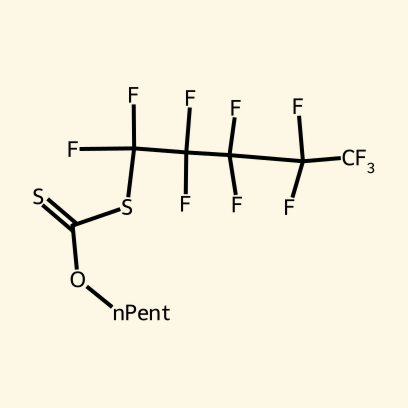 CCCCCOC(=S)SC(F)(F)C(F)(F)C(F)(F)C(F)(F)C(F)(F)F